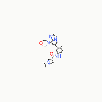 Cc1ccc(NC(=O)c2ccn(C(C)C)c2)cc1-c1cc(N2CCOCC2)c2nccn2c1